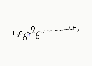 CCCCCCCCCCCC(=O)C(=O)/C=C/C(C)=O